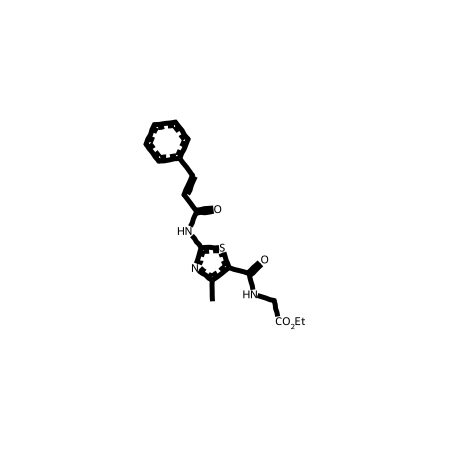 CCOC(=O)CNC(=O)c1sc(NC(=O)C=Cc2ccccc2)nc1C